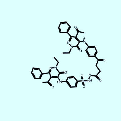 CCn1nc(-c2ccccc2)c(C(C)=O)c(Nc2ccc(C(=O)CCC(=O)ONS(=O)(=O)c3ccc(Nc4c(C(C)=O)c(-c5ccccc5)nn(CC)c4=O)cc3)cc2)c1=O